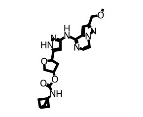 COCc1cc2c(Nc3cc(C4CC(OC(=O)NC56CC(C5)C6)CO4)[nH]n3)nccn2n1